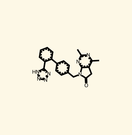 Cc1nc(C)c2c(n1)N(Cc1ccc(-c3ccccc3-c3nnn[nH]3)cc1)C(=O)C2